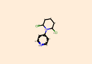 ClC1CCCC(Cl)N1c1ccncc1